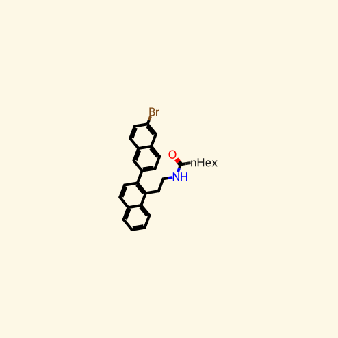 CCCCCCC(=O)NCCc1c(-c2ccc3cc(Br)ccc3c2)ccc2ccccc12